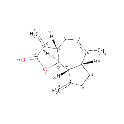 C=C1CC[C@H]2C(C)=CC[C@H]3C(=C)C(=O)O[C@@H]3[C@@H]12